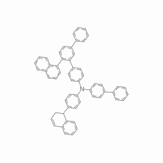 C1=Cc2ccccc2C(c2ccc(N(c3ccc(-c4ccccc4)cc3)c3ccc(-c4cc(-c5ccccc5)ccc4-c4cccc5ccccc45)cc3)cc2)C1